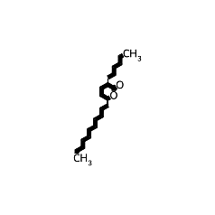 CCCCCCCCCCC[C@H]1CC[C@H](CCCCCC)C(=O)O1